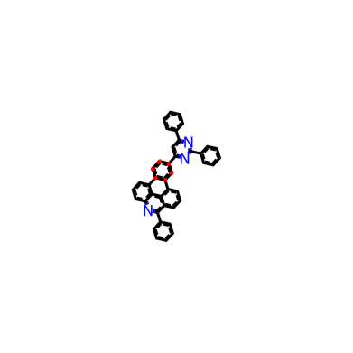 c1ccc(-c2cc(-c3ccc(-c4cccc5nc(-c6ccccc6)c6cccc(-c7ccccc7)c6c45)cc3)nc(-c3ccccc3)n2)cc1